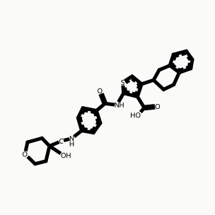 O=C(Nc1scc(C2CCc3ccccc3C2)c1C(=O)O)c1ccc(NCC2(O)CCOCC2)cc1